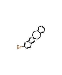 Brc1ccc2c(c1)=CC1(C=2)CCc2ccccc2CC1